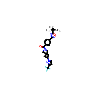 CC(C)(C)c1nc(-c2ccc(C(=O)N3CC4(CC(n5ccc(C(F)(F)F)n5)C4)C3)cc2)no1